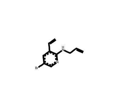 C=CCNc1ncc(Br)cc1C=C